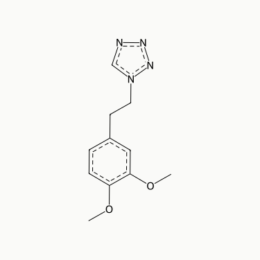 COc1ccc(CCn2cnnn2)cc1OC